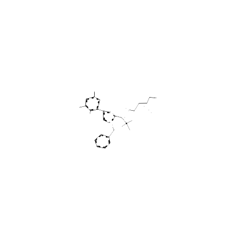 CC(C)(C)[C@@H](NCC[C@@H](N)CF)c1nc(-c2cc(F)cc(F)c2F)cn1Cc1ccccc1